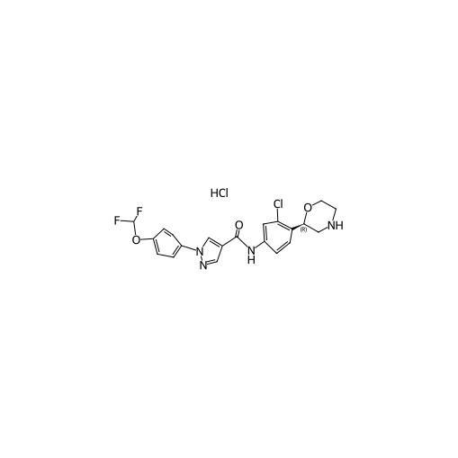 Cl.O=C(Nc1ccc([C@@H]2CNCCO2)c(Cl)c1)c1cnn(-c2ccc(OC(F)F)cc2)c1